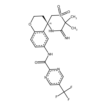 CC1(C)C(=N)N[C@@]2(CCOc3ccc(NC(=O)c4ncc(C(F)(F)F)cn4)cc32)CS1(=O)=O